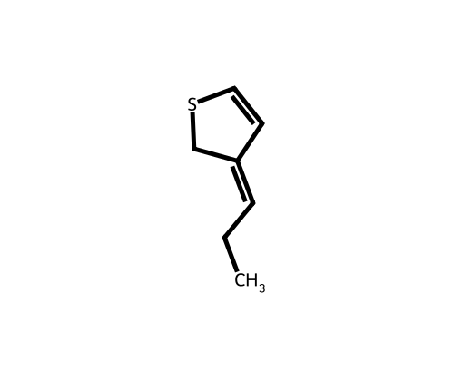 CCC=C1C=CSC1